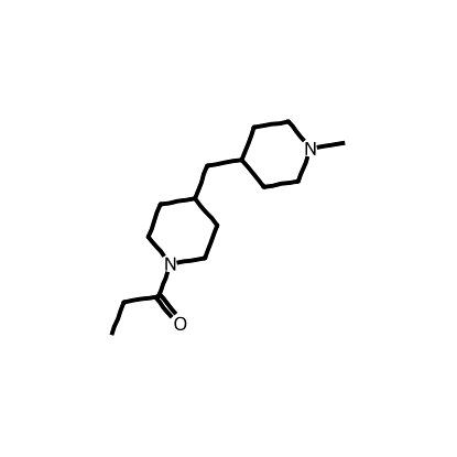 CCC(=O)N1CCC(CC2CCN(C)CC2)CC1